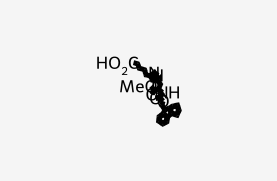 COC(=O)C(Cn1cc(CCCCC(=O)O)nn1)NC(=O)OCC1c2ccccc2-c2ccccc21